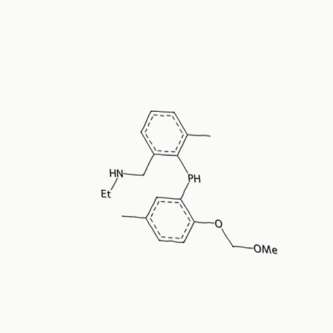 CCNCc1cccc(C)c1Pc1cc(C)ccc1OCOC